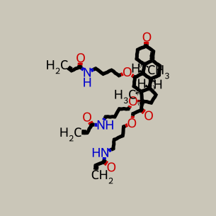 C=CC(=O)NCCCCOCC(=O)[C@@]1(OCCCCNC(=O)C=C)CC[C@H]2[C@@H]3CCC4=CC(=O)CC[C@]4(C)[C@H]3C(OCCCCNC(=O)C=C)C[C@@]21C